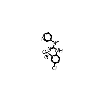 CN(C1=NS(=O)(=O)c2cc(Cl)ccc2N1)c1cccnc1